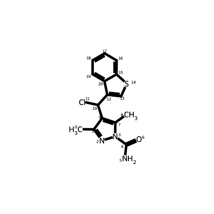 Cc1nn(C(N)=O)c(C)c1C(Cl)c1csc2ccccc12